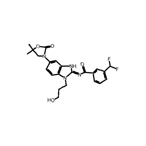 CC1(C)CN(c2ccc3c(c2)[nH]/c(=N\C(=O)c2cccc(C(F)F)c2)n3CCCO)C(=O)O1